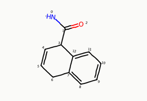 [NH]C(=O)C1C=CCc2ccccc21